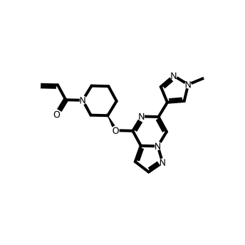 C=CC(=O)N1CCC[C@@H](Oc2nc(-c3cnn(C)c3)cn3nccc23)C1